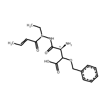 CC=CC(=O)N(CC)NC(=O)[C@@H](N)C(OCc1ccccc1)C(=O)O